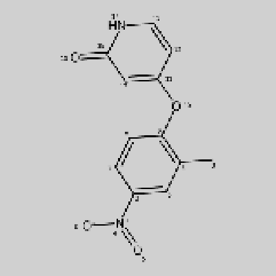 Cc1cc([N+](=O)[O-])ccc1Oc1cc[nH]c(=O)c1